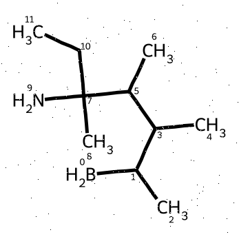 BC(C)C(C)C(C)C(C)(N)CC